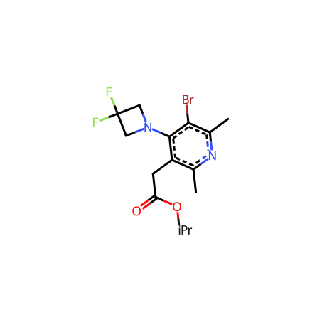 Cc1nc(C)c(CC(=O)OC(C)C)c(N2CC(F)(F)C2)c1Br